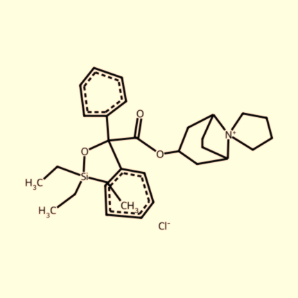 CC[Si](CC)(CC)OC(C(=O)OC1CC2CCC(C1)[N+]21CCCC1)(c1ccccc1)c1ccccc1.[Cl-]